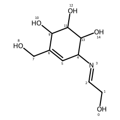 OCC=NC1C=C(CO)C(O)C(O)C1O